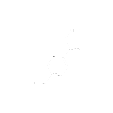 CC(C)Cc1ccc(C(=O)O[C]=O)cc1